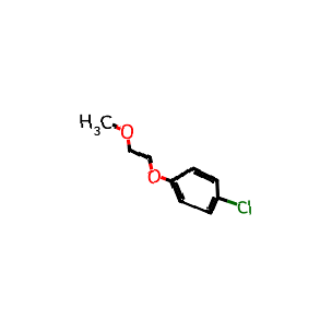 COCCOc1ccc(Cl)cc1